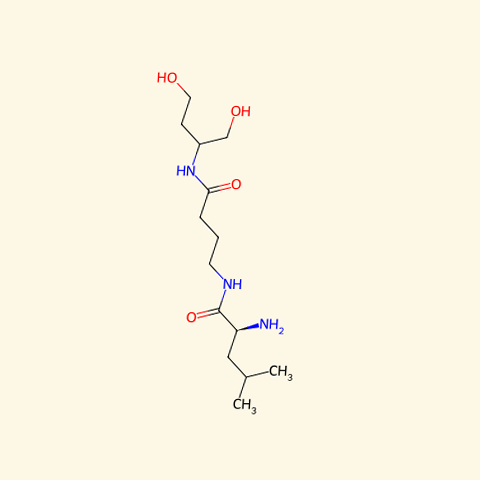 CC(C)C[C@H](N)C(=O)NCCCC(=O)NC(CO)CCO